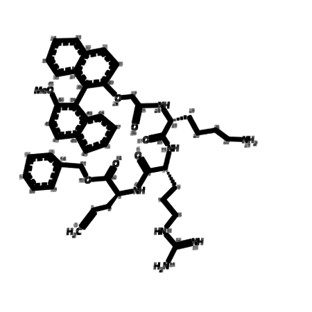 C=CC[C@H](NC(=O)[C@@H](CCCNC(=N)N)NC(=O)[C@@H](CCCCN)NC(=O)COc1ccc2ccccc2c1-c1c(OC)ccc2ccccc12)C(=O)OCc1ccccc1